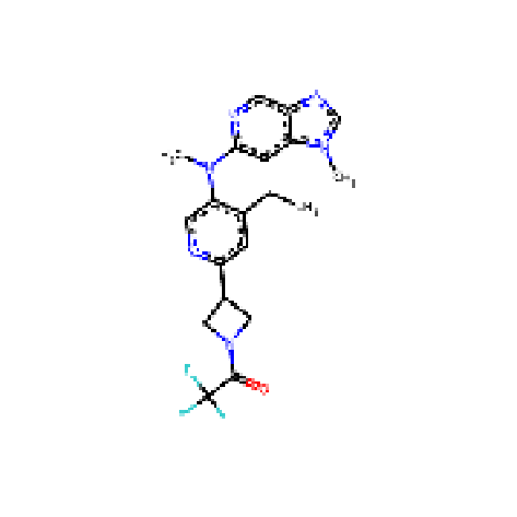 CCc1cc(C2CN(C(=O)C(F)(F)F)C2)ncc1N(C)c1cc2c(cn1)ncn2C